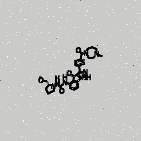 COC[C@H]1CCCN1NC(=O)Nc1cccc2c1C(=O)c1c(-c3ccc(C(=O)N4CCCN(C)CC4)s3)n[nH]c1-2